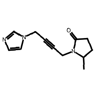 CC1CCC(=O)N1CC#CCn1ccnc1